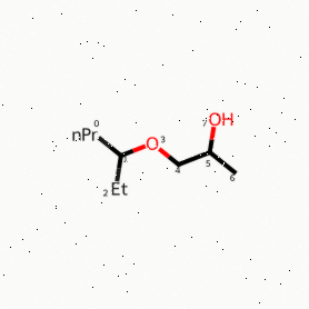 CCCC(CC)OCC(C)O